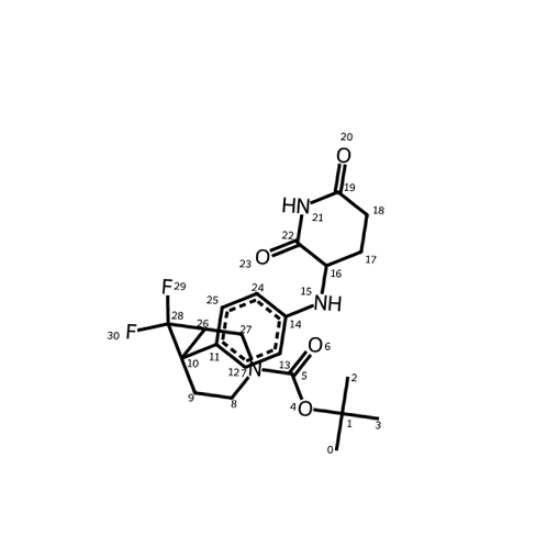 CC(C)(C)OC(=O)N1CCC2(c3ccc(NC4CCC(=O)NC4=O)cc3)C(C1)C2(F)F